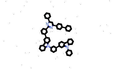 c1ccc(-c2ccc(-c3cc(-c4ccccc4)nc(-c4cccc(-c5ccc6c(c5)c5ccccc5n6-c5cccc(-c6ccc7c8ccccc8n(-c8ccccc8)c7c6)c5)c4)n3)cc2)cc1